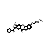 COCCOc1ccc2c(c1)CN(C(=O)c1cc3c(C(=O)C4CCCC4)n[nH]c3cc1O)C2